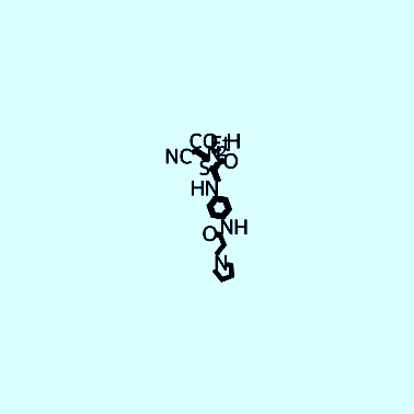 CCn1c(=C(C#N)C(=O)O)sc(=CNc2ccc(NC(=O)CCN3CCCC3)cc2)c1=O